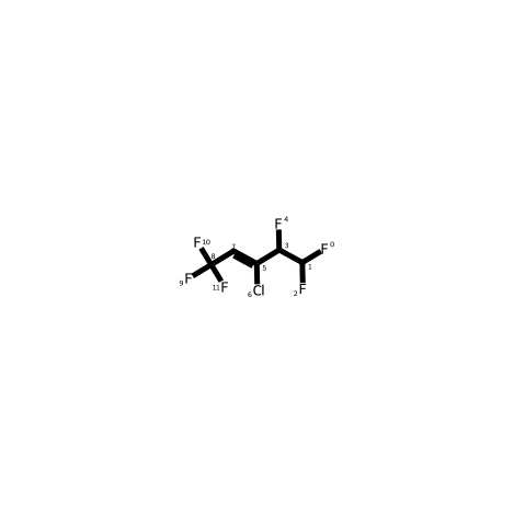 FC(F)C(F)C(Cl)=CC(F)(F)F